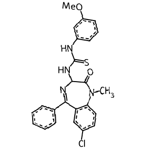 COc1cccc(NC(=S)NC2N=C(c3ccccc3)c3cc(Cl)ccc3N(C)C2=O)c1